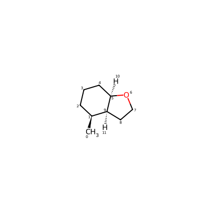 C[C@H]1CCC[C@H]2OCC[C@@H]12